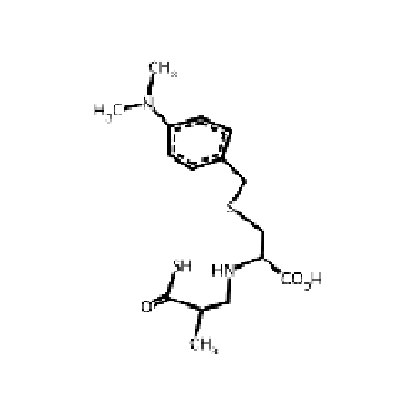 CC(CN[C@@H](CSCc1ccc(N(C)C)cc1)C(=O)O)C(=O)S